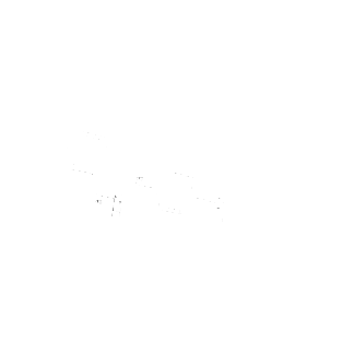 COc1ccc([C@@H](C)N[C@H](C)c2ccccc2)cc1